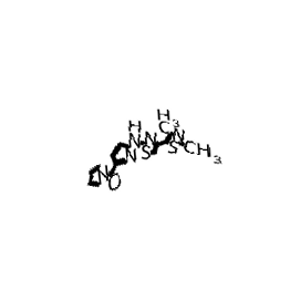 Cc1nc(C)c(-c2csc(Nc3ccc(C(=O)N4CCCC4)cn3)n2)s1